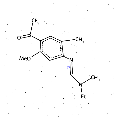 CCN(C)/C=N/c1cc(OC)c(C(=O)C(F)(F)F)cc1C